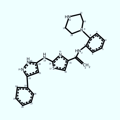 C=C(Nc1ccccc1N1CCNCC1)c1csc(Nc2cc(-c3ccccc3)n[nH]2)n1